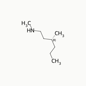 CCC[C@@H](C)CCNC